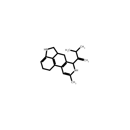 C=C(C(C)C)C1NC(C)=CC2=C1CC1CNC3=CCCC2=C31